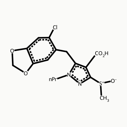 CCCn1nc([S+](C)[O-])c(C(=O)O)c1Cc1cc2c(cc1Cl)OCO2